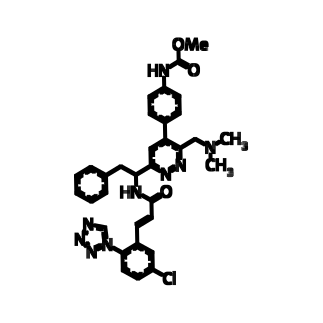 COC(=O)Nc1ccc(-c2cc(C(Cc3ccccc3)NC(=O)/C=C/c3cc(Cl)ccc3-n3cnnn3)nnc2CN(C)C)cc1